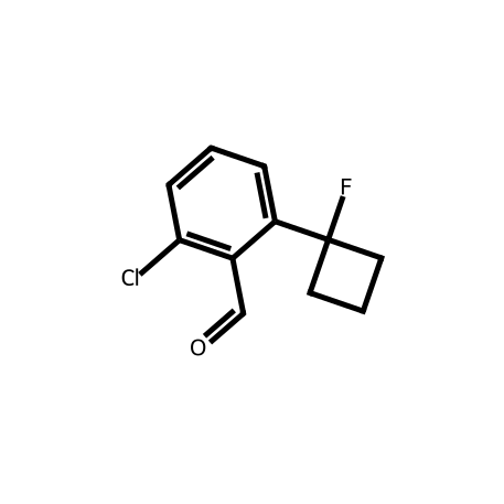 O=Cc1c(Cl)cccc1C1(F)CCC1